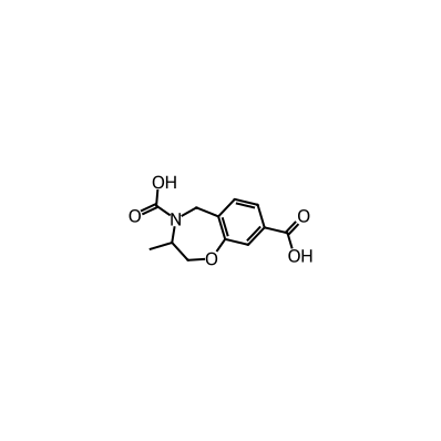 CC1COc2cc(C(=O)O)ccc2CN1C(=O)O